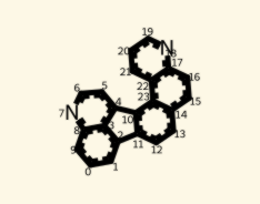 c1cc2c3c(ccnc3c1)-c1c-2ccc2ccc3ncccc3c12